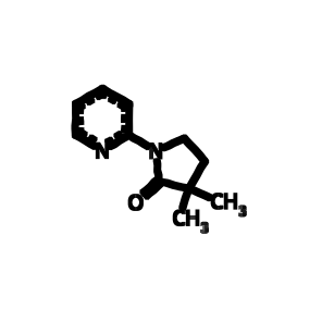 CC1(C)CCN(c2ccccn2)C1=O